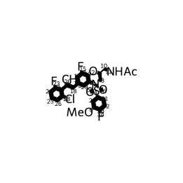 COc1cc(S(=O)(=O)N2C[C@H](CNC(C)=O)Oc3c(F)cc(/C=C(\C)c4c(F)cccc4Cl)cc32)ccc1F